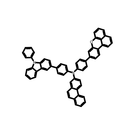 c1ccc(-n2c3ccccc3c3cc(-c4ccc(N(c5ccc(-c6ccc7c(c6)Oc6cccc8cccc-7c68)cc5)c5ccc6c(ccc7ccccc76)c5)cc4)ccc32)cc1